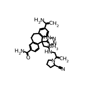 C=C(N)c1ccc2c(c1)CCc1cc(C(N)=O)ccc1C2(C[C@@H](C)NCC(=C)N1CCCC1C#N)c1nnn[nH]1